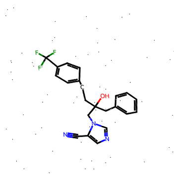 N#Cc1cncn1CC(O)(CCc1ccc(C(F)(F)F)cc1)Cc1ccccc1